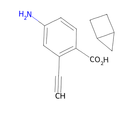 C#Cc1cc(N)ccc1C(=O)O.C1CC2CC12